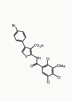 COc1c(Cl)c(Cl)cc(C(=O)Nc2scc(-c3ccc(Br)cc3)c2C(=O)O)c1Cl